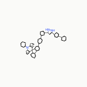 C1=C(c2ccc(-c3ccccc3)cc2)NNC1c1cccc(-c2ccc(-c3ccc4c(c3)C3(c5ccccc5-4)c4ccccc4N(c4ccccc4)c4ccccc43)cc2)c1